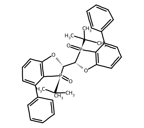 CC(C)(C)[P@@]1(=O)c2c(cccc2-c2ccccc2)O[C@@H]1[C@H]1Oc2cccc(-c3ccccc3)c2[P@]1(=O)C(C)(C)C